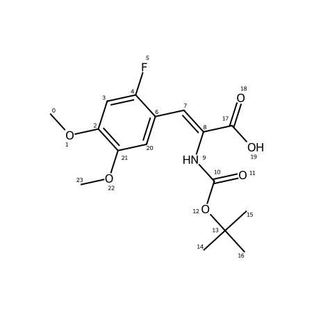 COc1cc(F)c(C=C(NC(=O)OC(C)(C)C)C(=O)O)cc1OC